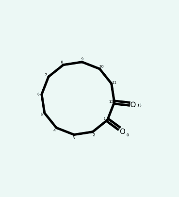 O=C1CCCCCCCCCCC1=O